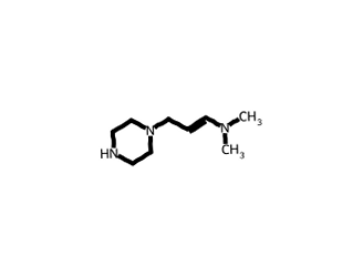 CN(C)C=CCN1CCNCC1